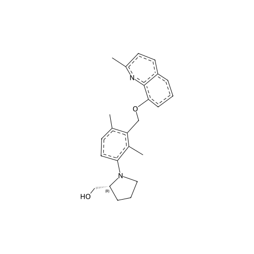 Cc1ccc2cccc(OCc3c(C)ccc(N4CCC[C@@H]4CO)c3C)c2n1